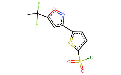 CC(F)(F)c1cc(-c2ccc(S(=O)(=O)Cl)s2)no1